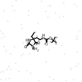 CCC1(CCNC(=O)OC(C)(C)C)NC(=O)N(N)C1=O